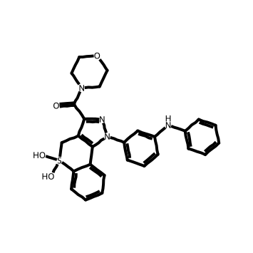 O=C(c1nn(-c2cccc(Nc3ccccc3)c2)c2c1CS(O)(O)c1ccccc1-2)N1CCOCC1